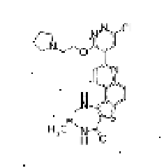 C[C@@H]1CNc2c(sc3ccc4nc(-c5cc(Cl)nnc5OCCN5CCCC5)ccc4c23)C(=O)N1